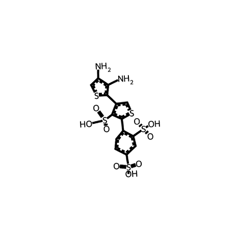 Nc1csc(-c2csc(-c3ccc(S(=O)(=O)O)cc3S(=O)(=O)O)c2S(=O)(=O)O)c1N